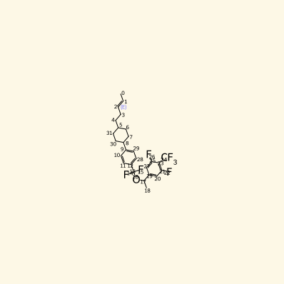 C/C=C/CCC1CCC(c2ccc(C(F)(F)OC(C)c3cc(F)c(C(F)(F)F)c(F)c3)cc2)CC1